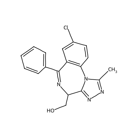 Cc1nnc2n1-c1ccc(Cl)cc1C(c1ccccc1)=NC2CO